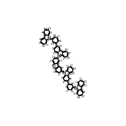 c1cc(-c2ccc3c(c2)c2ccccc2n3-c2ccc3sc4ccc(-n5c6ccccc6c6cc(-c7cccc(-n8c9ccccc9c9ccccc98)c7)ccc65)cc4c3c2)cc(-n2c3ccccc3c3ccccc32)c1